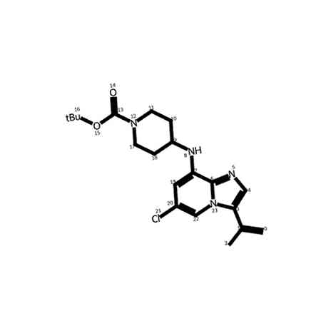 C=C(C)c1cnc2c(NC3CCN(C(=O)OC(C)(C)C)CC3)cc(Cl)cn12